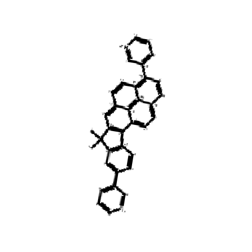 CC1(C)c2cc(-c3cccnc3)ccc2-c2c1cc1ccc3c(-c4cccnc4)ccc4ccc2c1c43